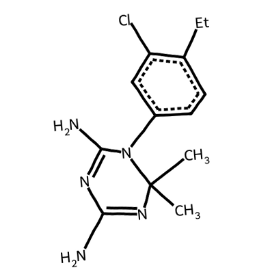 CCc1ccc(N2C(N)=NC(N)=NC2(C)C)cc1Cl